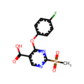 CS(=O)(=O)c1ncc(C(=O)O)c(Oc2ccc(F)cc2)n1